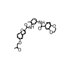 CC(=O)COc1ccc2oc(C(=O)Nc3cc(NC(=O)c4ccc5c(c4)OCCO5)ccc3C)cc2c1